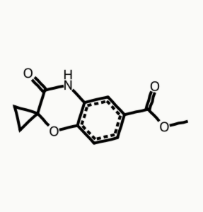 COC(=O)c1ccc2c(c1)NC(=O)C1(CC1)O2